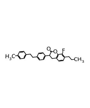 CCCc1ccc2c(c1F)OC(=O)C(c1ccc(CCc3ccc(C)cc3)cc1)C2